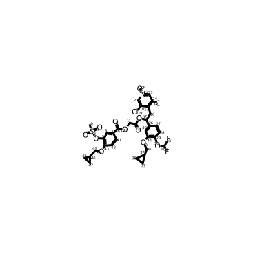 CS(=O)(=O)Oc1cc(C(=O)OCC(=O)OC(Cc2c(Cl)c[n+]([O-])cc2Cl)c2ccc(OC(F)F)c(OCC3CC3)c2)ccc1OCC1CC1